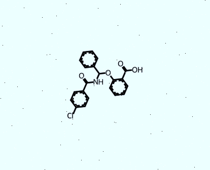 O=C(NC(Oc1ccccc1C(=O)O)c1ccccc1)c1ccc(Cl)cc1